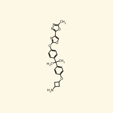 Cc1nnc(-c2coc(Oc3ccc(C(C)(C)c4ccc(OC5CC(N)C5)cc4)cc3)n2)o1